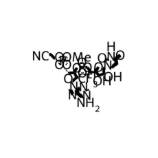 COP(=O)(OCCC#N)OC[C@H]1O[C@@H](n2cnc3c(N)ncnc32)C(C(F)(F)F)C1OP(=O)(O)OC[C@H]1O[C@@H](n2ccc(=O)[nH]c2=O)C(O)C1O